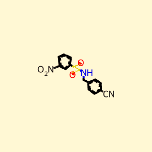 N#Cc1ccc(CNS(=O)(=O)c2cccc([N+](=O)[O-])c2)cc1